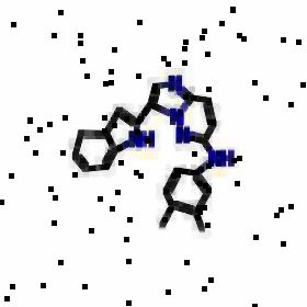 Cc1ccc(Nc2ccc3ncc(-c4cc5ccccc5[nH]4)n3n2)cc1C